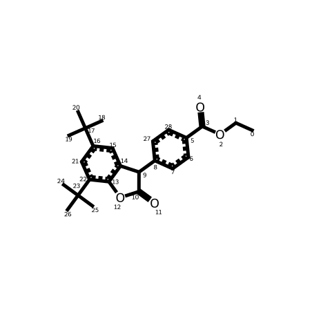 CCOC(=O)c1ccc(C2C(=O)Oc3c2cc(C(C)(C)C)cc3C(C)(C)C)cc1